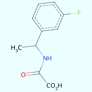 CC(NC(=O)C(=O)O)c1cccc(F)c1